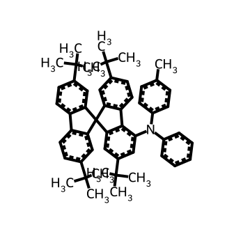 Cc1ccc(N(c2ccccc2)c2cc(C(C)(C)C)cc3c2-c2ccc(C(C)(C)C)cc2C32c3cc(C(C)(C)C)ccc3-c3ccc(C(C)(C)C)cc32)cc1